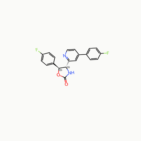 O=C1N[C@@H](c2cc(-c3ccc(F)cc3)ccn2)[C@H](c2ccc(F)cc2)O1